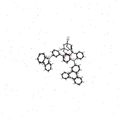 C[C@H]1C[C@H]2CC3=C[C@@H](C2)CC3(c2ccccc2N(c2ccc(-c3cccc(-n4c5ccccc5c5ccccc54)c3)cc2)c2ccc3c4ccccc4c4ccccc4c3c2)C1